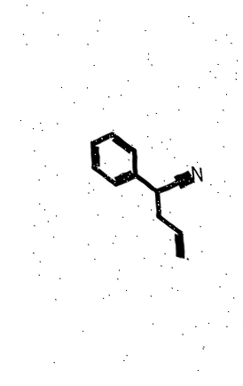 [CH]=CCC(C#N)c1ccccc1